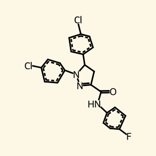 O=C(Nc1ccc(F)cc1)C1=NN(c2ccc(Cl)cc2)C(c2ccc(Cl)cc2)C1